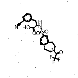 N#Cc1cccc(CC(NS(=O)(=O)c2ccc3c(c2)CCN(C(=O)C(F)(F)F)CC3)C(=O)O)c1